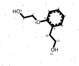 OCCOc1ccccc1CCO